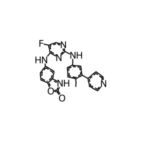 Cc1ccc(Nc2ncc(F)c(Nc3ccc4oc(=O)[nH]c4c3)n2)cc1-c1ccncc1